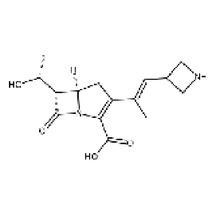 CC(=CC1CNC1)C1=C(C(=O)O)N2C(=O)[C@H]([C@@H](C)O)[C@H]2C1